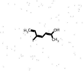 C=C/C(I)=C\C=C(/C)O